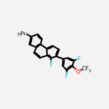 CCCc1ccc2c(ccc3c(F)c(-c4cc(F)c(OC(F)(F)F)c(F)c4)ccc32)c1